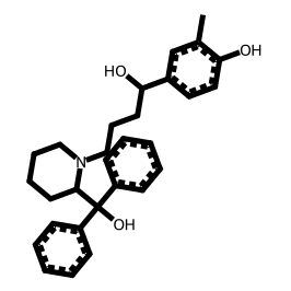 Cc1cc(C(O)CCCN2CCCCC2C(O)(c2ccccc2)c2ccccc2)ccc1O